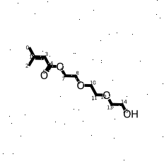 CC(C)=CC(=O)OCCOCCOCCO